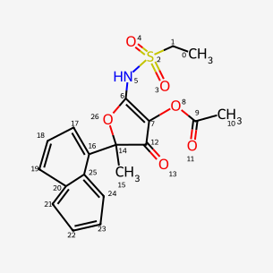 CCS(=O)(=O)NC1=C(OC(C)=O)C(=O)C(C)(c2cccc3ccccc23)O1